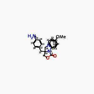 COc1ccc(N2C(=O)OCC2(Cc2ccc(N)cc2)CN2CCCCC2)cc1